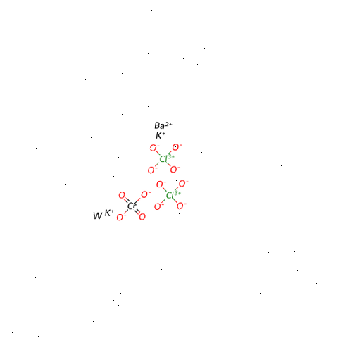 [Ba+2].[K+].[K+].[O-][Cl+3]([O-])([O-])[O-].[O-][Cl+3]([O-])([O-])[O-].[O]=[Cr](=[O])([O-])[O-].[W]